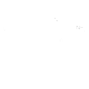 Nc1nc2cc(Cl)c3ccccc3c2o1